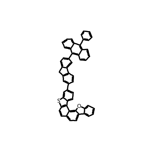 c1ccc(-c2c3ccccc3c(-c3ccc4c(c3)-c3ccc(-c5ccc6c(c5)sc5ccc7ccc8c9ccccc9oc8c7c56)cc3C4)c3ccccc23)cc1